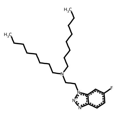 CCCCCCCCN(CCCCCCCC)CCn1nnc2ccc(F)cc21